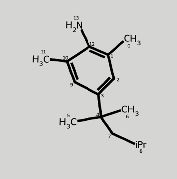 Cc1cc(C(C)(C)CC(C)C)cc(C)c1N